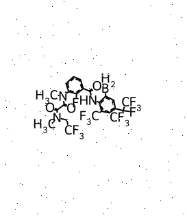 Bc1cc(C(F)(C(F)(F)F)C(F)(F)F)cc(C(F)(F)F)c1NC(=O)c1cccc(N(C)C(=O)C(=O)N(C)CC(F)(F)F)c1F